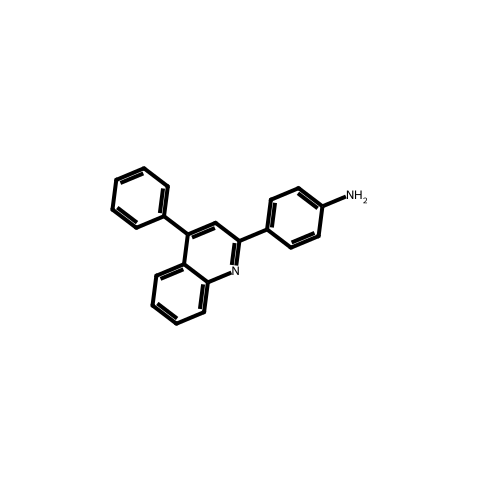 Nc1ccc(-c2cc(-c3ccccc3)c3ccccc3n2)cc1